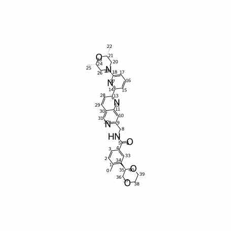 Cc1ccc(C(=O)NCc2cc3nc(-c4cccc(N5C[C@@H](C)O[C@@H](C)C5)n4)ccc3cn2)cc1[C@@H]1COCCO1